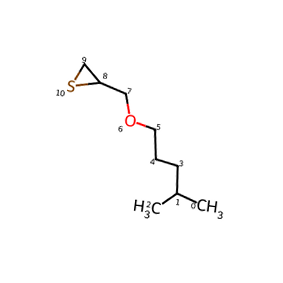 CC(C)CCCOCC1CS1